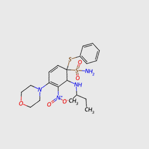 CCC(C)NC1C([N+](=O)[O-])=C(N2CCOCC2)C=CC1(Sc1ccccc1)S(N)(=O)=O